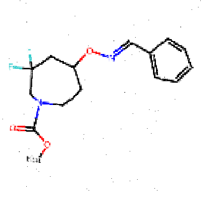 CC(C)(C)OC(=O)N1CCC(ON=Cc2ccccc2)CC(F)(F)C1